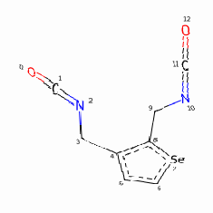 O=C=NCc1cc[se]c1CN=C=O